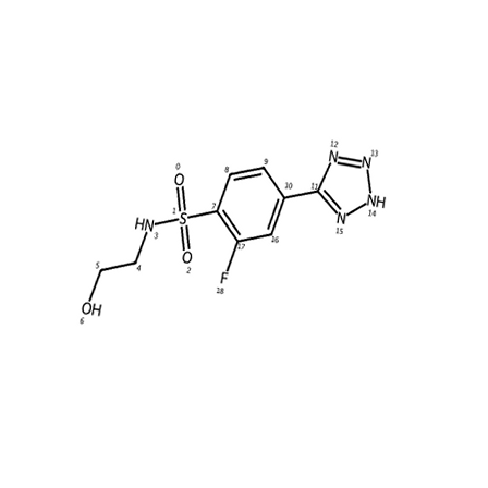 O=S(=O)(NCCO)c1ccc(-c2nn[nH]n2)cc1F